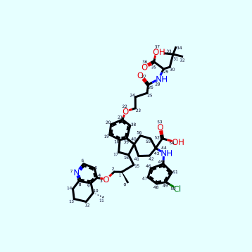 C[C@@H](COc1ccnc2c1[C@H](C)CCC2)CC1Cc2ccc(OCCCC(=O)NC(CC(C)(C)C)C(=O)O)cc2C12CCC(Nc1cccc(Cl)c1)(C(=O)O)CC2